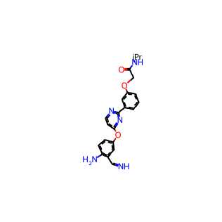 CC(C)NC(=O)COc1cccc(-c2nccc(Oc3ccc(N)c(C=N)c3)n2)c1